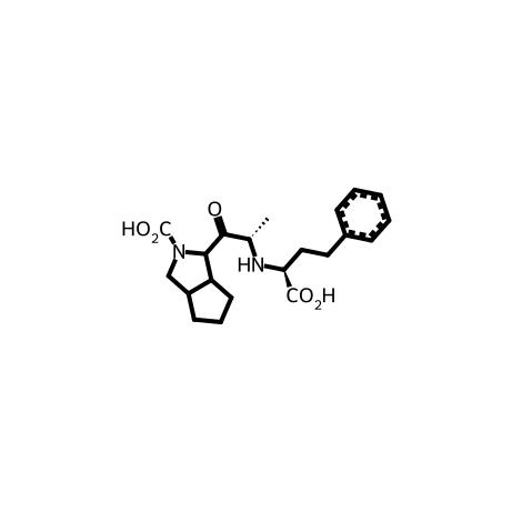 C[C@H](N[C@@H](CCc1ccccc1)C(=O)O)C(=O)C1C2CCCC2CN1C(=O)O